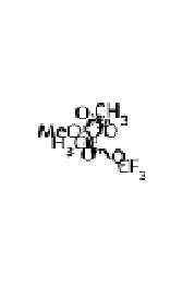 CO[C@@H]1C(=O)[C@@H](C)[C@]2(CO2)C[C@H]1[C@@]1(C)O[C@@H]1CCOC(F)(F)F